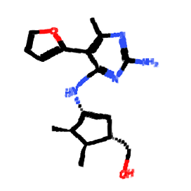 Cc1nc(N)nc(N[C@@H]2C[C@H](CO)[C@@H](C)[C@H]2C)c1-c1ccco1